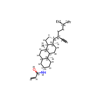 C#C[C@H](CC[C@@H](CC)C(C)C)[C@H]1CCC2[C@@H]3CCC4C[C@@H](NC(=O)C=C)CC[C@]4(C)C3CC[C@@]21C